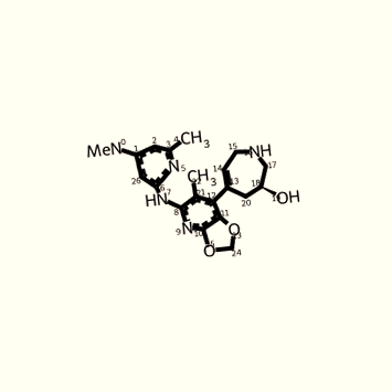 CNc1cc(C)nc(Nc2nc3c(c(C4=CCNC[C@@H](O)C4)c2C)OCO3)c1